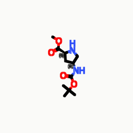 COC(=O)[C@@H]1C[C@@H](NC(=O)OC(C)(C)C)CN1